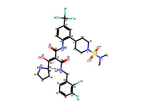 CN(C)S(=O)(=O)N1CCC(c2cc(C(F)(F)F)ccc2NC(=O)/C(C(=O)NCc2cccc(F)c2F)=C(\O)[C@@]2(C)CCCN2)CC1